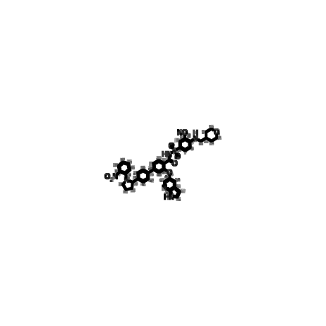 O=C(NS(=O)(=O)c1ccc(NCC2CCOCC2)c([N+](=O)[O-])c1)c1ccc(-c2ccc(C3CCCN3c3ccccc3[N+](=O)[O-])cc2)cc1Oc1cnc2[nH]ccc2c1